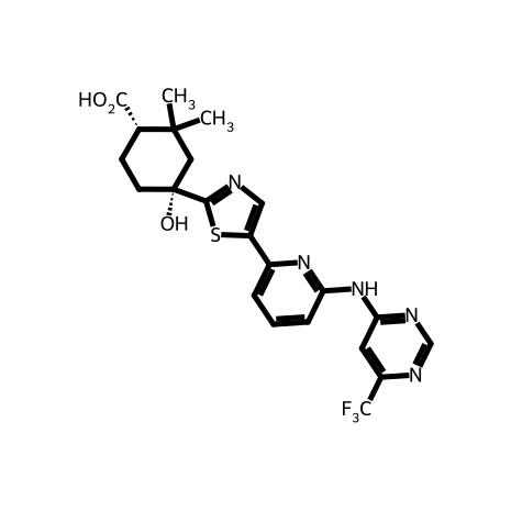 CC1(C)C[C@@](O)(c2ncc(-c3cccc(Nc4cc(C(F)(F)F)ncn4)n3)s2)CC[C@@H]1C(=O)O